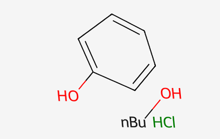 CCCCO.Cl.Oc1ccccc1